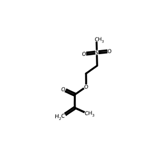 C=C(C)C(=O)OCCS(C)(=O)=O